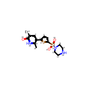 CCc1cc(-c2ccc(S(=O)(=O)N3CCNCC3)s2)c(C)[nH]c1=O